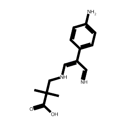 CC(C)(CN/C=C(\C=N)c1ccc(N)cc1)C(=O)O